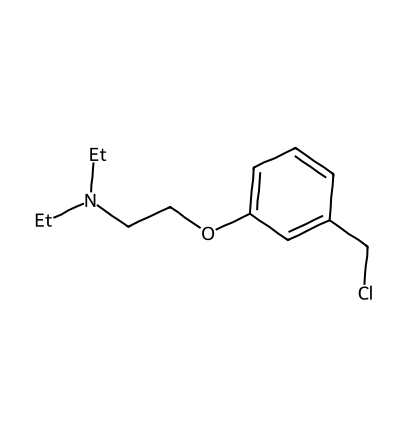 CCN(CC)CCOc1cccc(CCl)c1